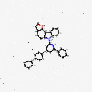 c1ccc(-c2ccc(-c3cc(-c4ccccc4)nc(-n4c5ccccc5c5c6occc6ccc54)c3)cc2)cc1